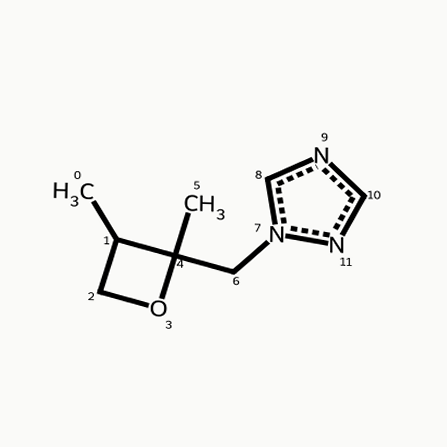 CC1COC1(C)Cn1cncn1